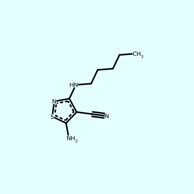 CCCCCNc1nsc(N)c1C#N